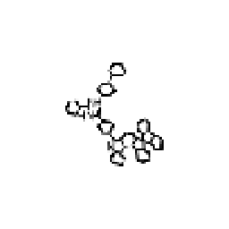 C1=C(c2ccc(C3=Nc4ccccc4C4C3=CC=C3C4c4ccccc4C34c3ccccc3-c3ccccc34)cc2)NC(c2ccccc2)N=C1c1ccc(-c2ccccc2)cc1